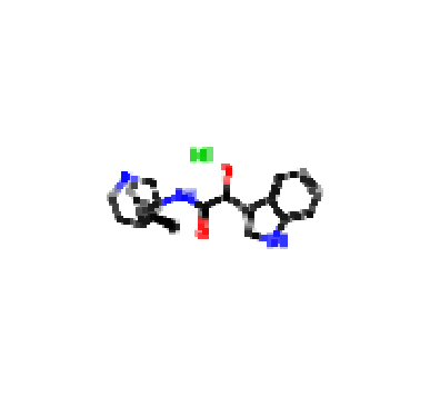 Cl.O=C(N[C@H]1CN2CCC1CC2)C(=O)c1c[nH]c2ccccc12